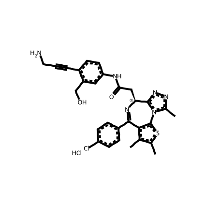 Cc1sc2c(c1C)C(c1ccc(Cl)cc1)=N[C@@H](CC(=O)Nc1ccc(C#CCN)c(CO)c1)c1nnc(C)n1-2.Cl